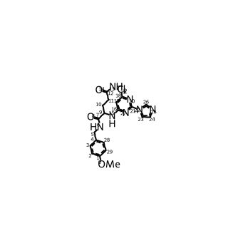 COc1ccc(CNC(=O)C(CCC(N)=O)Nc2cc(Cl)nc(-n3ccnc3)n2)cc1